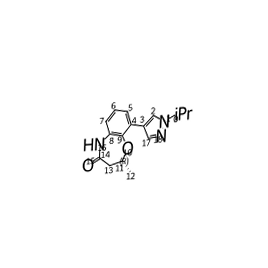 CC(C)n1cc(-c2cccc3c2O[C@H](C)CC(=O)N3)cn1